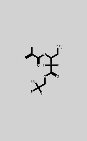 C=C(C)C(=O)OC(CC(F)(F)F)C(F)(F)C(=O)OCC(F)(F)S